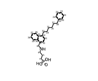 O=P(O)(O)CCCNCc1ccc(CCCCCCc2ccccc2)c2ccccc12